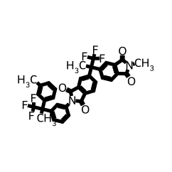 Cc1cccc(C(C)(c2cccc(N3C(=O)c4ccc(C(C)(c5ccc6c(c5)C(=O)N(C)C6=O)C(F)(F)F)cc4C3=O)c2)C(F)(F)F)c1